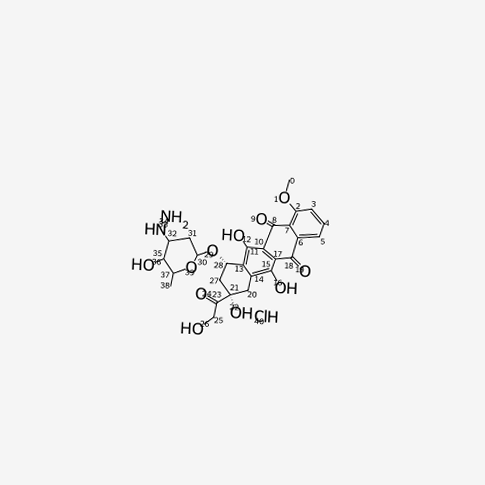 COc1cccc2c1C(=O)c1c(O)c3c(c(O)c1C2=O)C[C@@](O)(C(=O)CO)C[C@@H]3OC1CC(NN)C(O)C(C)O1.Cl